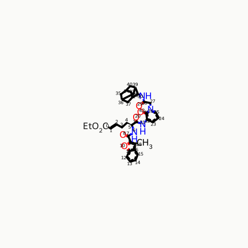 CCOC(=O)/C=C/CC[C@H](NC(=O)c1oc2ccccc2c1C)C(=O)Nc1cccn(CC(=O)NC2C3CC4CC(C3)CC2C4)c1=O